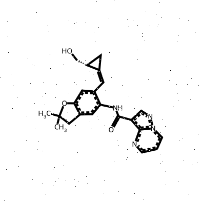 CC1(C)Cc2cc(NC(=O)c3cnn4cccnc34)c(/C=C3/C[C@H]3CO)cc2O1